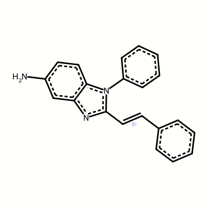 Nc1ccc2c(c1)nc(/C=C/c1ccccc1)n2-c1ccccc1